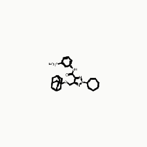 O=C(O)c1cccc(NC(=O)c2nn(C3CCCCCC3)nc2COC23CC4CC(CC(C4)C2)C3)c1